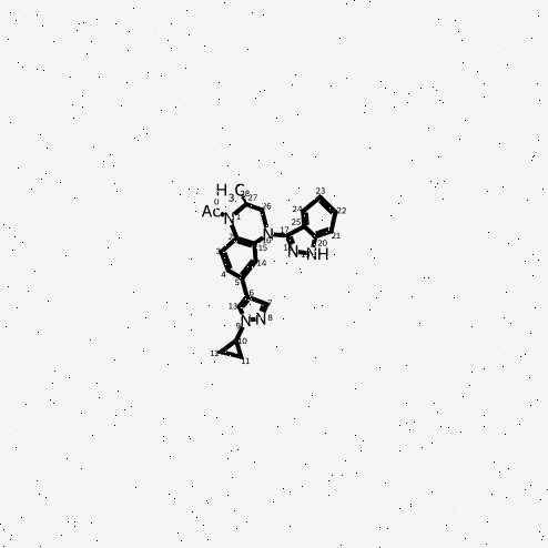 CC(=O)N1c2ccc(-c3cnn(C4CC4)c3)cc2N(c2n[nH]c3ccccc23)C[C@@H]1C